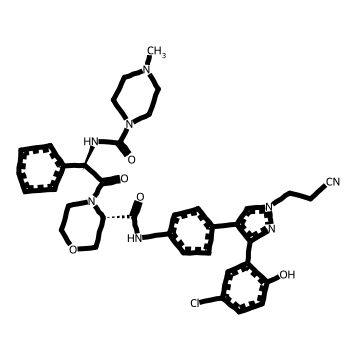 CN1CCN(C(=O)N[C@@H](C(=O)N2CCOC[C@H]2C(=O)Nc2ccc(-c3cn(CCC#N)nc3-c3cc(Cl)ccc3O)cc2)c2ccccc2)CC1